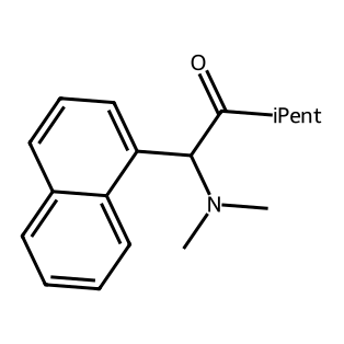 CCCC(C)C(=O)C(c1cccc2ccccc12)N(C)C